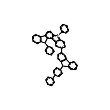 c1ccc(-c2ccc(C3c4ccccc4-c4cc(-c5ccc6c(c5)c5c7c(ccc5n6-c5ccccc5)-c5ccccc5C7c5ccccc5)ccc43)cc2)cc1